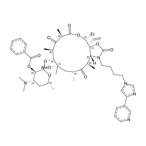 C=C[C@]12OC(=O)N(CCCCn3cnc(-c4cccnc4)c3)[C@@H]1[C@@H](C)C(=O)[C@H](C)C[C@](C)(OC)[C@H](OC1O[C@H](C)C[C@H](N(C)C)[C@H]1OC(=O)c1ccccc1)[C@@H](C)C(=O)[C@@H](C)C(=O)O[C@@H]2CC